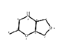 CC1CNC2COCC2O1